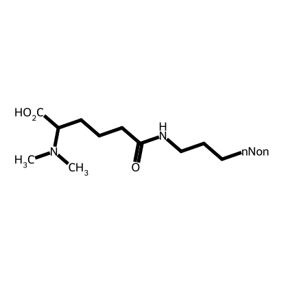 CCCCCCCCCCCCNC(=O)CCCC(C(=O)O)N(C)C